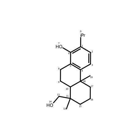 CC(C)c1ccc2c(c1O)CCC1C(C)(CO)CCCC21C